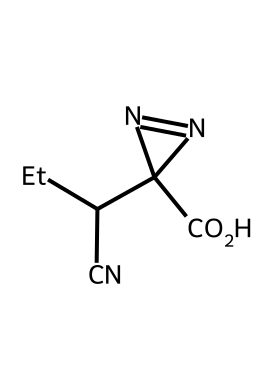 CCC(C#N)C1(C(=O)O)N=N1